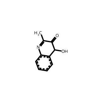 CC1=Nc2ccccc2C(O)C1=O